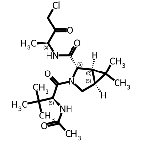 CC(=O)N[C@H](C(=O)N1C[C@H]2[C@@H]([C@H]1C(=O)N[C@@H](C)C(=O)CCl)C2(C)C)C(C)(C)C